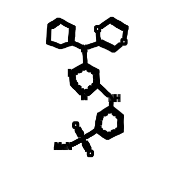 CNS(=O)(=O)c1cccc(Nc2cc(N(C3=CC=CCC3)C3=COC=CO3)ncn2)c1